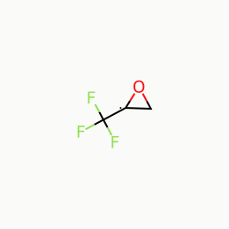 FC(F)(F)[C]1CO1